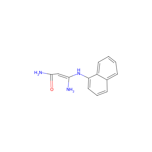 NC(=O)C=C(N)Nc1cccc2ccccc12